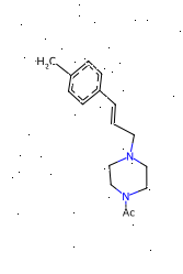 [CH2]c1ccc(C=CCN2CCN(C(C)=O)CC2)cc1